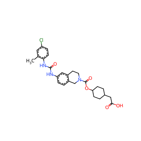 Cc1cc(Cl)ccc1NC(=O)Nc1ccc2c(c1)CCN(C(=O)OC1CCC(CC(=O)O)CC1)C2